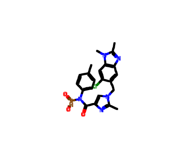 Cc1ccc(N(C(=O)c2cn(Cc3cc4nc(C)n(C)c4cc3Cl)c(C)n2)[SH](=O)=O)cc1